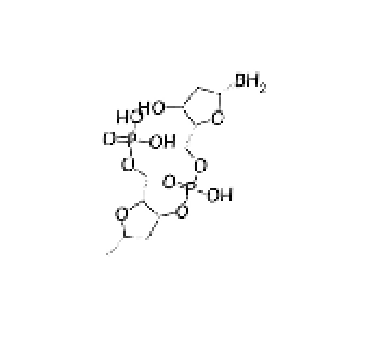 B[C@H]1CC(O)[C@@H](COP(=O)(O)OC2C[C@H](C)O[C@@H]2COP(=O)(O)O)O1